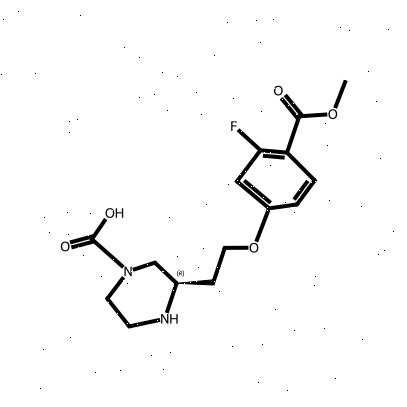 COC(=O)c1ccc(OCC[C@@H]2CN(C(=O)O)CCN2)cc1F